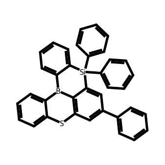 c1ccc(-c2cc3c4c(c2)[Si](c2ccccc2)(c2ccccc2)c2ccccc2B4c2ccccc2S3)cc1